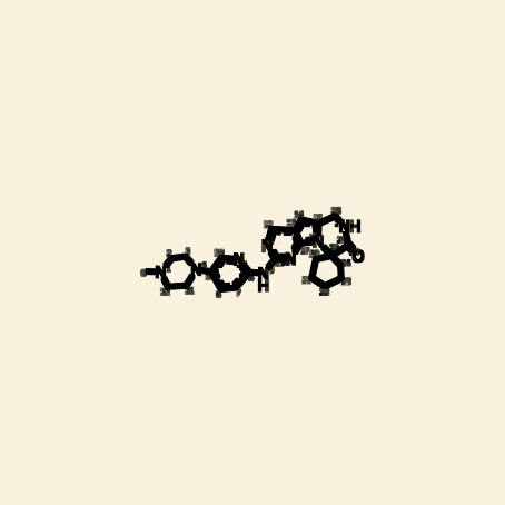 CN1CCN(c2ccc(Nc3ncc4cc5n(c4n3)C3(CCCCC3)C(=O)NC5)nc2)CC1